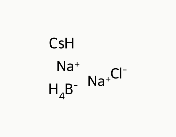 [BH4-].[Cl-].[CsH].[Na+].[Na+]